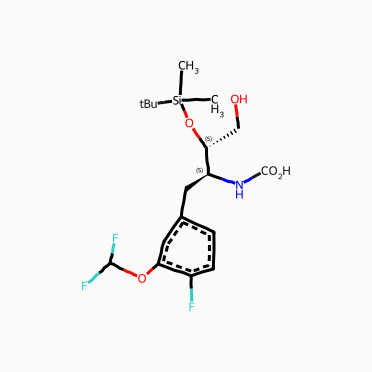 CC(C)(C)[Si](C)(C)O[C@H](CO)[C@H](Cc1ccc(F)c(OC(F)F)c1)NC(=O)O